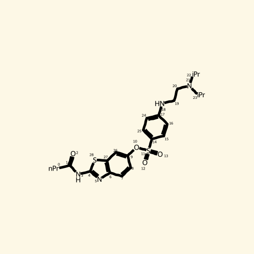 CCCC(=O)Nc1nc2ccc(OS(=O)(=O)c3ccc(NCCN(C(C)C)C(C)C)cc3)cc2s1